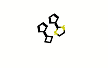 C1=CC(=C2CCC2)C=C1.C1=CC(=C2SCCS2)C=C1